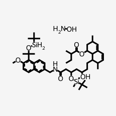 CCC(C)C(=O)OC1CC(C)C=C2C=CC(C)C(CCC(O)CC(CC(=O)NCc3ccc4c(C(C)(C)O[SiH2]C(C)(C)C)c(OC)ccc4c3)O[Si](C)(C)C(C)(C)C)C21.NO